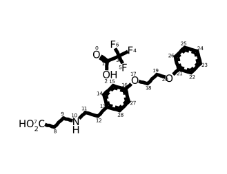 O=C(O)C(F)(F)F.O=C(O)CCNCCc1ccc(OCCOc2ccccc2)cc1